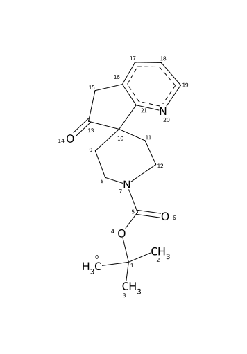 CC(C)(C)OC(=O)N1CCC2(CC1)C(=O)Cc1cccnc12